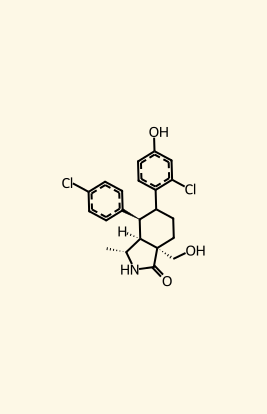 C[C@H]1NC(=O)[C@]2(CO)CCC(c3ccc(O)cc3Cl)[C@H](c3ccc(Cl)cc3)[C@H]12